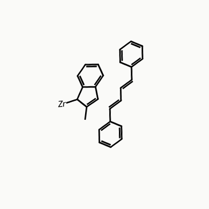 C(C=Cc1ccccc1)=Cc1ccccc1.CC1=Cc2ccccc2[CH]1[Zr]